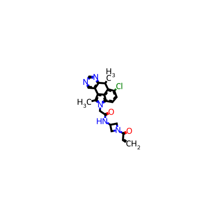 C=CC(=O)N1CC(NC(=O)Cn2c(C)c3c4c(c(Cl)ccc42)C(C)c2ncncc2-3)C1